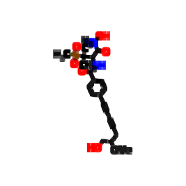 COC(CO)CC#CC#Cc1ccc(C(=O)NC(C(=O)NO)C(C)(C)S(C)(=O)=O)cc1